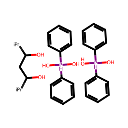 CC(C)C(O)CC(O)C(C)C.O[PH](O)(c1ccccc1)c1ccccc1.O[PH](O)(c1ccccc1)c1ccccc1